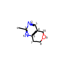 Cc1ncc2c(n1)CCOC2